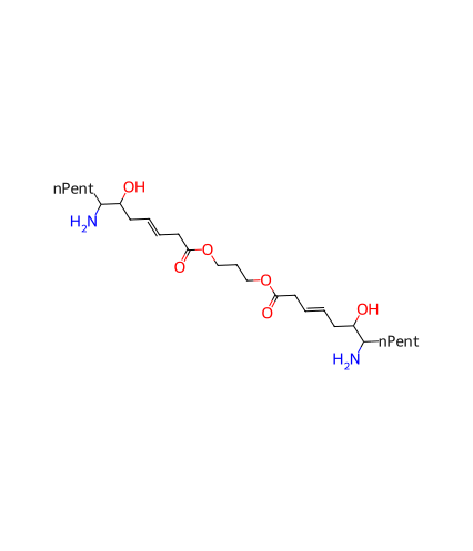 CCCCCC(N)C(O)C/C=C/CC(=O)OCCCOC(=O)C/C=C/CC(O)C(N)CCCCC